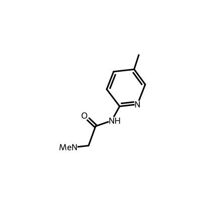 CNCC(=O)Nc1ccc(C)cn1